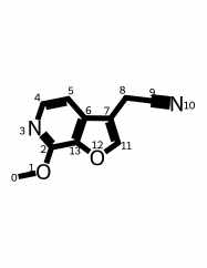 COc1nccc2c(CC#N)coc12